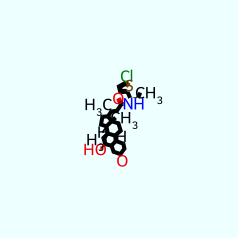 CC[C@H](NC(=O)C[C@@H](C)C1CC[C@H]2C3C[C@H](O)C4CC(=O)CCC4(C)[C@H]3CCC12C)c1ccc(Cl)s1